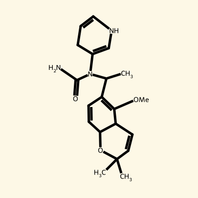 COC1=C(C(C)N(C(N)=O)C2=CNC=CC2)C=CC2OC(C)(C)C=CC12